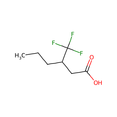 CCCC(CC(=O)O)C(F)(F)F